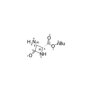 CCCCOC(=O)[C@@H]1NC(=O)[C@@H]1N